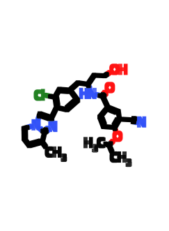 Cc1cccn2cc(-c3ccc(CC(CCO)NC(=O)c4ccc(OC(C)C)c(C#N)c4)cc3Cl)nc12